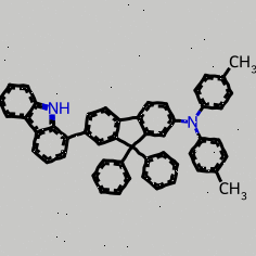 Cc1ccc(N(c2ccc(C)cc2)c2ccc3c(c2)C(c2ccccc2)(c2ccccc2)c2cc(-c4cccc5c4[nH]c4ccccc45)ccc2-3)cc1